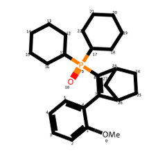 COc1ccccc1C1=C(P(=O)(C2CCCCC2)C2CCCCC2)C2CCC1C2